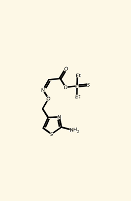 CCP(=S)(CC)OC(=O)/C=N\OCc1csc(N)n1